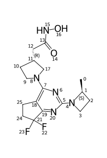 C[C@H]1CCN1c1nc(N2CC[C@H](CC(=O)NO)C2)c2c(n1)C(F)(F)CC2